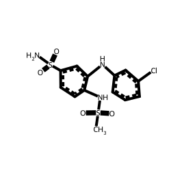 CS(=O)(=O)Nc1ccc(S(N)(=O)=O)cc1Nc1cccc(Cl)c1